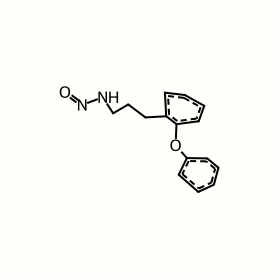 O=NNCCCc1ccccc1Oc1ccccc1